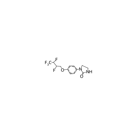 O=C1NCCN1c1ccc(OCC(F)C(F)C(F)(F)F)cc1